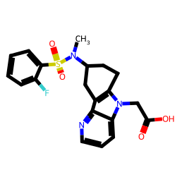 CN(C1CCc2c(c3ncccc3n2CC(=O)O)C1)S(=O)(=O)c1ccccc1F